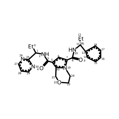 CCC(NC(=O)c1cc(C(=O)N[C@H](CC)c2ccccc2)n2c1COCC2)c1ncccn1